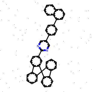 c1ccc2c(c1)-c1ccccc1C21c2ccccc2-c2ccc(-c3ncc(-c4ccc(-c5cccc6ccccc56)cc4)cn3)cc21